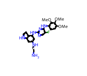 COc1ccc(Nc2nc(Nc3cc(NCCN)cc4[nH]ccc34)ncc2F)c(OC)c1OC